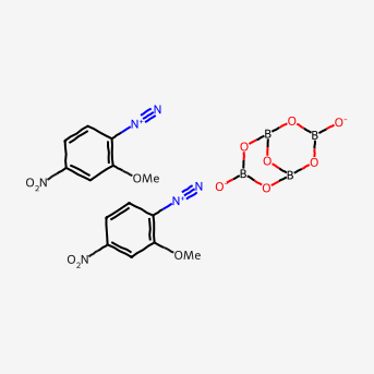 COc1cc([N+](=O)[O-])ccc1[N+]#N.COc1cc([N+](=O)[O-])ccc1[N+]#N.[O-]B1OB2OB([O-])OB(O1)O2